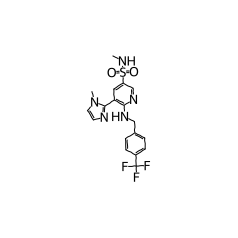 CNS(=O)(=O)c1cnc(NCc2ccc(C(F)(F)F)cc2)c(-c2nccn2C)c1